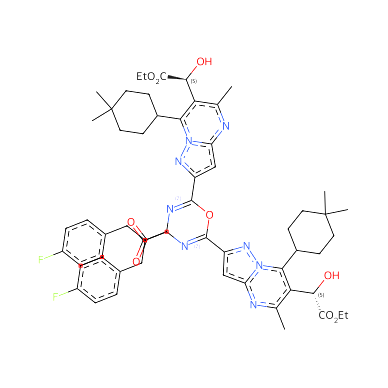 CCOC(=O)[C@@H](O)c1c(C)nc2cc(/C(=N/CC(=O)Cc3ccc(F)cc3)O/C(=N\CC(=O)Cc3ccc(F)cc3)c3cc4nc(C)c([C@H](O)C(=O)OCC)c(C5CCC(C)(C)CC5)n4n3)nn2c1C1CCC(C)(C)CC1